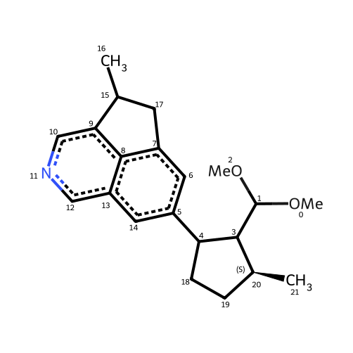 COC(OC)C1C(c2cc3c4c(cncc4c2)C(C)C3)CC[C@@H]1C